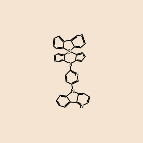 c1ccc2c(c1)-c1ccccc1[Si]21c2ccccc2N(c2ccc(-n3c4ccccc4c4ncccc43)cn2)c2ccccc21